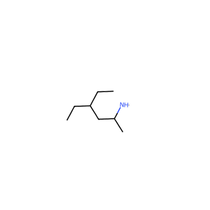 CCC(CC)CC(C)[NH]